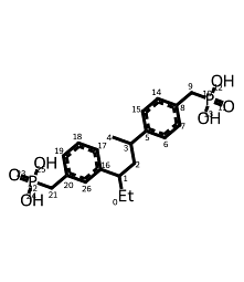 CCC(CC(C)c1ccc(CP(=O)(O)O)cc1)c1cccc(CP(=O)(O)O)c1